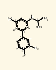 CCc1cc(NC(C)O)nc(-c2ccc(F)c(Cl)c2)n1